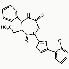 O=C(O)C[C@@H]1C(=O)N(c2nc(-c3ccccc3Cl)cs2)CC(=O)N[C@@H]1c1ccccc1